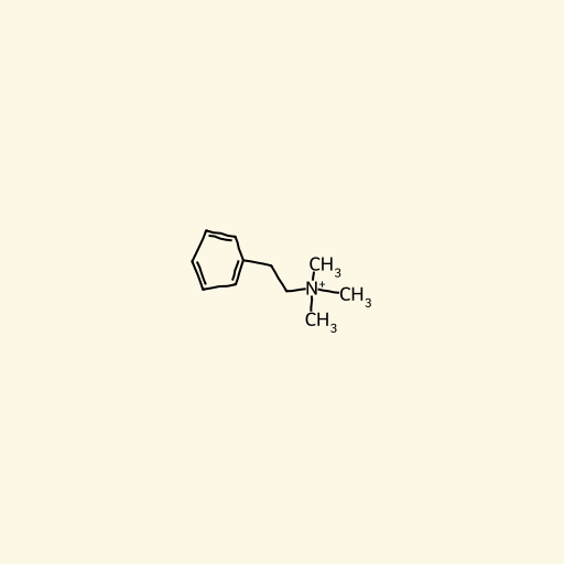 C[N+](C)(C)CCc1ccccc1